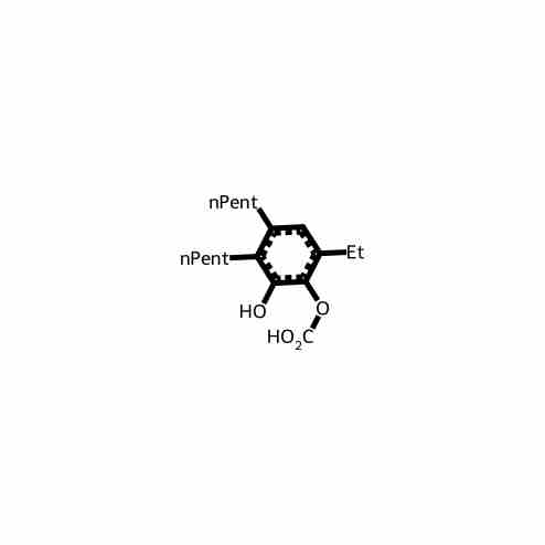 CCCCCc1cc(CC)c(OC(=O)O)c(O)c1CCCCC